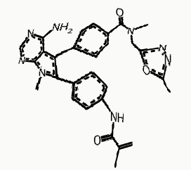 C=C(C)C(=O)Nc1ccc(-c2c(-c3ccc(C(=O)N(C)Cc4nnc(C)o4)cc3)c3c(N)ncnc3n2C)cc1